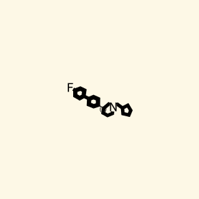 Fc1ccc(-c2ccc([C@H]3CCCN(CC4CCCC4)C3)cc2)cc1